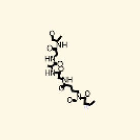 C/C=C\C(=O)N(C=O)CCCC(=O)NCC(=O)NC(C)C(=O)NCC(=O)NC(C)C=O